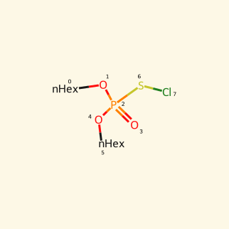 CCCCCCOP(=O)(OCCCCCC)SCl